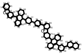 C1=CC2=C(C3=CC=C4OC5=C(CCC=C5)C4C3)C3CCCCC3C(C3CCC(C4C=CC(C5=CCCC6C5OC5CCC(C7C8CCC=CC8=C(C8CCCC(C9C=C%10CCCCC%10CC9)C8)C8CC=CCC87)CC56)=CC4)CC3)C2C=C1